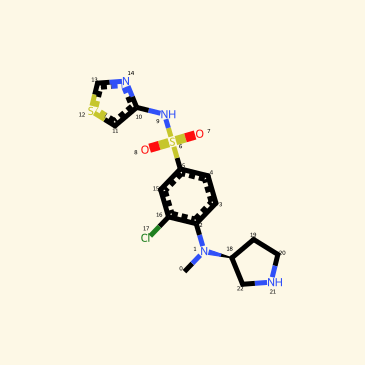 CN(c1ccc(S(=O)(=O)Nc2cscn2)cc1Cl)[C@H]1CCNC1